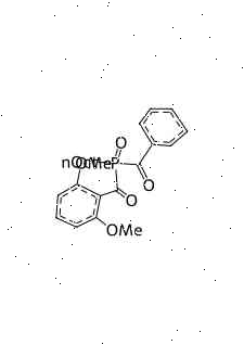 CCCCCCCCP(=O)(C(=O)c1ccccc1)C(=O)c1c(OC)cccc1OC